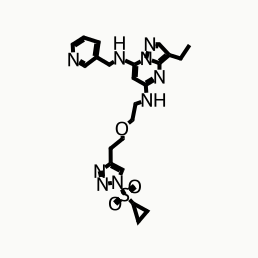 CCc1cnn2c(NCc3cccnc3)cc(NCCOCCc3cn(S(=O)(=O)C4CC4)nn3)nc12